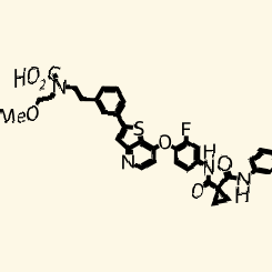 COCCN(CCc1cccc(-c2cc3nccc(Oc4ccc(NC(=O)C5(C(=O)Nc6ccccc6)CC5)cc4F)c3s2)c1)C(=O)O